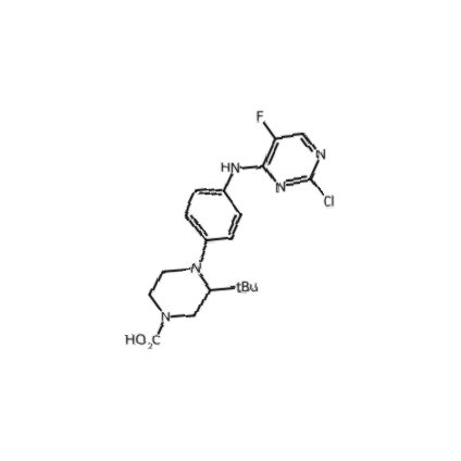 CC(C)(C)C1CN(C(=O)O)CCN1c1ccc(Nc2nc(Cl)ncc2F)cc1